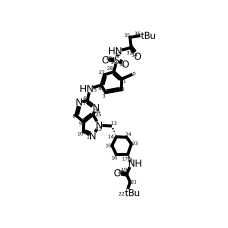 Cc1ccc(Nc2ncc3cnn(C[C@H]4CC[C@@H](NC(=O)CC(C)(C)C)CC4)c3n2)cc1S(=O)(=O)NC(=O)CC(C)(C)C